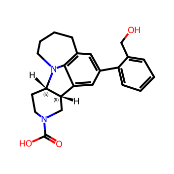 O=C(O)N1CC[C@H]2[C@@H](C1)c1cc(-c3ccccc3CO)cc3c1N2CCCC3